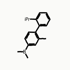 CB(C)c1ccc(-c2ccccc2C(C)C)c(C)c1